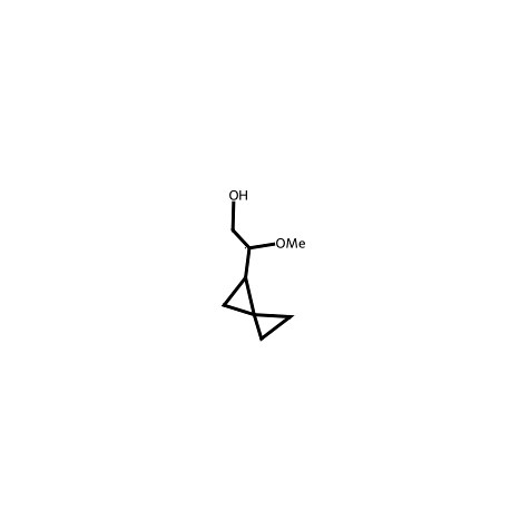 CO[C](CO)C1CC12CC2